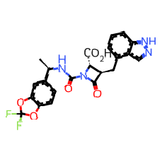 C[C@@H](NC(=O)N1C(=O)[C@H](Cc2cccc3[nH]ncc23)[C@H]1C(=O)O)c1ccc2c(c1)OC(F)(F)O2